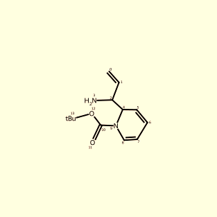 C=CC(N)C1C=CC=CN1C(=O)OC(C)(C)C